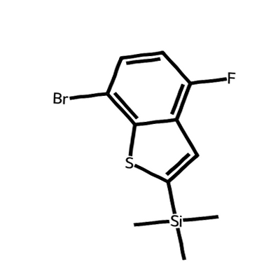 C[Si](C)(C)c1cc2c(F)ccc(Br)c2s1